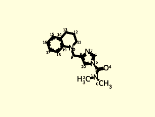 CN(C)C(=O)n1cnc(CN2CCCc3ccccc32)c1